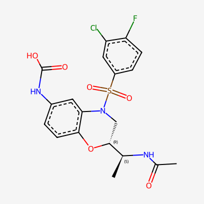 CC(=O)N[C@@H](C)[C@H]1CN(S(=O)(=O)c2ccc(F)c(Cl)c2)c2cc(NC(=O)O)ccc2O1